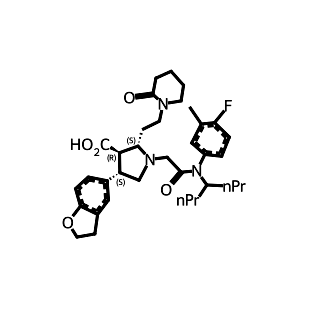 CCCC(CCC)N(C(=O)CN1C[C@H](c2ccc3c(c2)CCO3)[C@@H](C(=O)O)[C@@H]1CCN1CCCCC1=O)c1ccc(F)c(C)c1